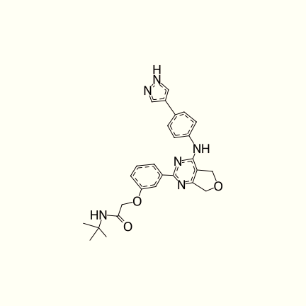 CC(C)(C)NC(=O)COc1cccc(-c2nc3c(c(Nc4ccc(-c5cn[nH]c5)cc4)n2)COC3)c1